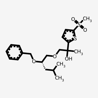 CC(C)C[C@@H](COCC(C)(O)c1ccc(S(C)(=O)=O)s1)OCc1ccccc1